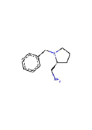 NC[C@@H]1CCCN1Cc1ccccc1